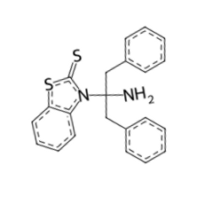 NC(Cc1ccccc1)(Cc1ccccc1)n1c(=S)sc2ccccc21